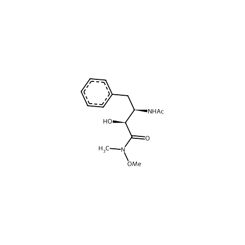 CON(C)C(=O)[C@@H](O)[C@@H](Cc1ccccc1)NC(C)=O